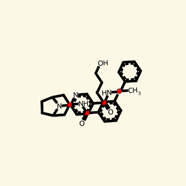 COc1cccc(C(=O)NC2CC3CCC(C2)N3c2ccc(C(=O)NCc3ccccc3)cn2)c1CCCO